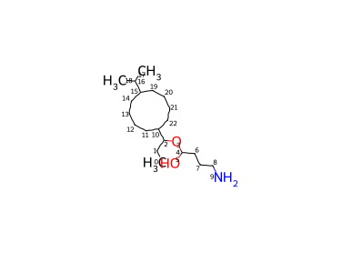 CCC(OC(O)CCCN)C1CCCCC(C(C)C)CCCC1